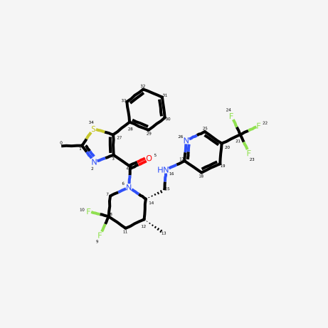 Cc1nc(C(=O)N2CC(F)(F)C[C@@H](C)[C@H]2CNc2ccc(C(F)(F)F)cn2)c(-c2ccccc2)s1